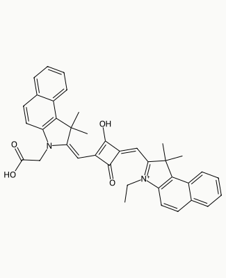 CC[N+]1=C(/C=C2\C(=O)C(/C=C3/N(CC(=O)O)c4ccc5ccccc5c4C3(C)C)=C2O)C(C)(C)c2c1ccc1ccccc21